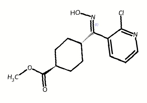 COC(=O)[C@H]1CC[C@H](/C(=N\O)c2cccnc2Cl)CC1